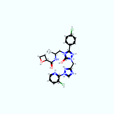 O=C(NC(Cn1c(-c2ccc(Cl)cc2)nn(Cc2ncn(-c3ncccc3Cl)n2)c1=O)C(F)(F)F)C1CCO1